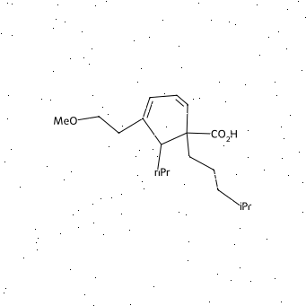 CCCC1C(CCOC)=CC=CC1(CCCC(C)C)C(=O)O